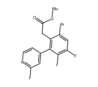 CC(C)c1cc(F)c(F)c(-c2ccnc(F)c2)c1CC(=O)OC(C)(C)C